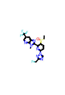 CC[S+]([O-])c1ccc(-n2cnc(CF)n2)nc1-c1nc2cc(C(F)(F)F)cnc2n1C